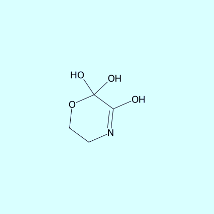 OC1=NCCOC1(O)O